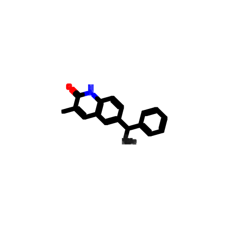 CNC(c1ccccc1)c1ccc2[nH]c(=O)c(C)cc2c1